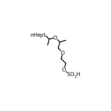 CCCCCCCC(C)OC(C)COCCOS(=O)(=O)O